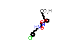 O=C(O)CCC=CCC1C2CCC(O2)C1c1nc(C(=O)NCCCCc2ccc(Cl)cc2)co1